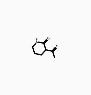 CC(=O)C1CCCNC1=O